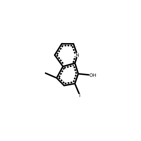 Cc1cc(I)c(O)c2ncccc12